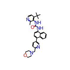 Cc1nccc(C(C)(C)C)c1NC(=O)Nc1ccc(-c2ccc(CN3CCOCC3)nc2)c2ccccc12